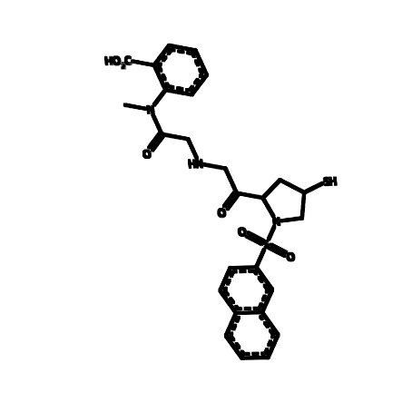 CN(C(=O)CNCC(=O)C1CC(S)CN1S(=O)(=O)c1ccc2ccccc2c1)c1ccccc1C(=O)O